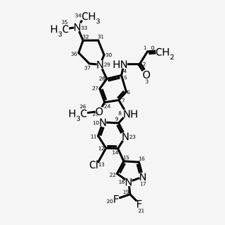 C=CC(=O)Nc1cc(Nc2ncc(Cl)c(-c3cnn(C(F)F)c3)n2)c(OC)cc1N1CCC(N(C)C)CC1